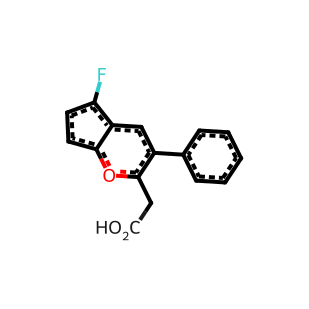 O=C(O)Cc1oc2ccc(F)c-2cc1-c1ccccc1